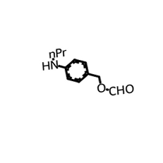 CCCNc1ccc(COC=O)cc1